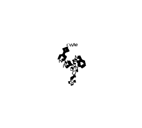 COC1CC(c2ccnc(-n3cc(S(=O)(=O)N(COCC[Si](C)(C)C)c4cccc5cnn(C)c45)cn3)c2)C1